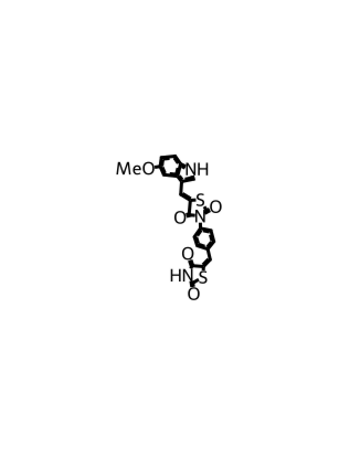 COc1ccc2[nH]cc(C=C3SC(=O)N(c4ccc(C=C5SC(=O)NC5=O)cc4)C3=O)c2c1